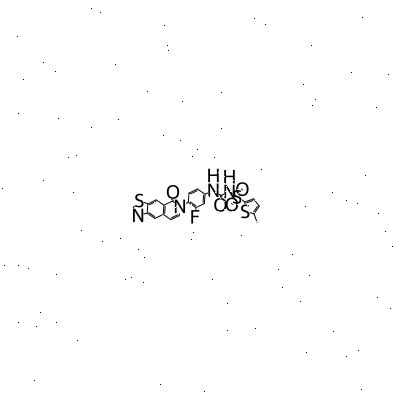 Cc1ccc(S(=O)(=O)NC(=O)Nc2ccc(-n3ccc4cc5ncsc5cc4c3=O)c(F)c2)s1